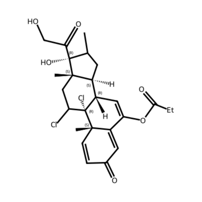 CCC(=O)OC1=C[C@H]2[C@@H]3CC(C)[C@](O)(C(=O)CO)[C@@]3(C)CC(Cl)[C@]2(Cl)[C@@]2(C)C=CC(=O)C=C12